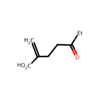 C=C(CCC(=O)CC)C(=O)O